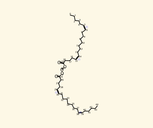 CCCCC/C=C\CCCCCCC/C=C\CCCC(=O)OOOC(=O)CCC/C=C\CCCCCCC/C=C\CCCCC